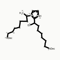 CCCCCCCCCCCCCCCCC(CC)c1[nH]cc[n+]1C(C)CCCCCCCCCCCCCCCC